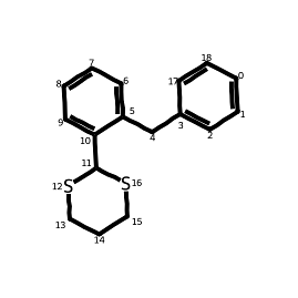 c1ccc(Cc2ccccc2C2SCCCS2)cc1